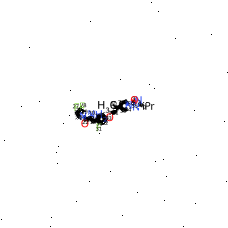 CC(C)c1noc(N2CCC([C@H](C)CCOc3ccc(C[C@H](N)C(=O)N4CCC(F)(F)C4)c(F)c3)CC2)n1